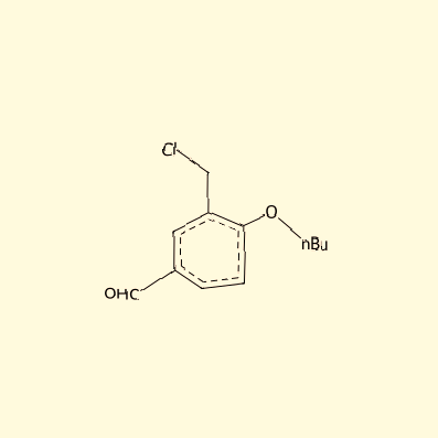 CCCCOc1ccc(C=O)cc1CCl